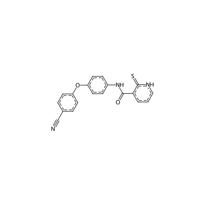 N#Cc1ccc(Oc2ccc(NC(=O)c3ccc[nH]c3=S)cc2)cc1